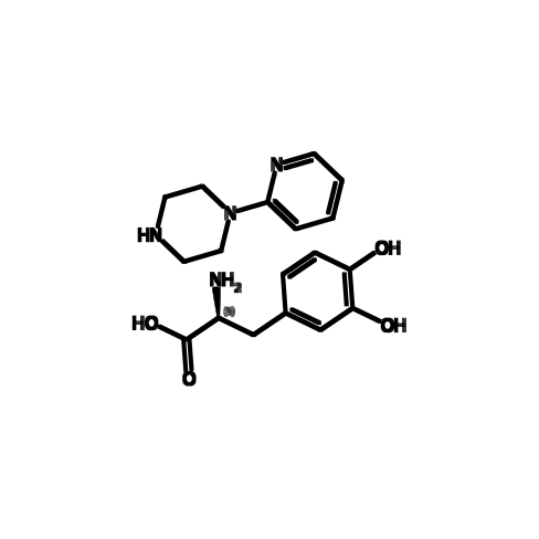 N[C@@H](Cc1ccc(O)c(O)c1)C(=O)O.c1ccc(N2CCNCC2)nc1